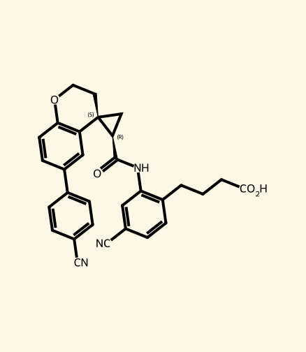 N#Cc1ccc(-c2ccc3c(c2)[C@]2(CCO3)C[C@H]2C(=O)Nc2cc(C#N)ccc2CCCC(=O)O)cc1